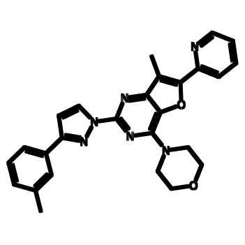 Cc1cccc(-c2ccn(-c3nc(N4CCOCC4)c4oc(-c5ccccn5)c(C)c4n3)n2)c1